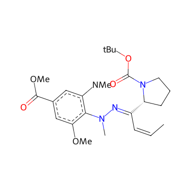 C/C=C\C(=N/N(C)c1c(NC)cc(C(=O)OC)cc1OC)[C@H]1CCCN1C(=O)OC(C)(C)C